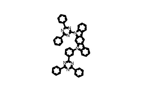 c1ccc(-c2nc(-c3ccccc3)nc(-c3cccc(-n4c5ccccc5c5cc6c7ccccc7n(-c7nc(-c8ccccc8)nc(-c8ccccc8)n7)c6cc54)c3)n2)cc1